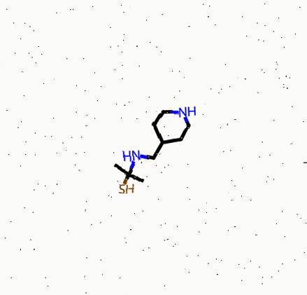 CC(C)(S)NCC1CCNCC1